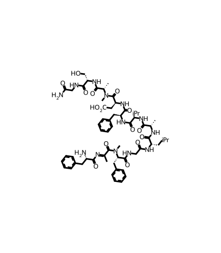 C/C(=N\C(=O)[C@@H](N)Cc1ccccc1)C(=O)N(C)[C@@H](Cc1ccccc1)C(=O)NCC(=O)N[C@@H](CC(C)C)C(=O)N[C@@H](C)C(=O)N[C@H](C(=O)N[C@@H](Cc1ccccc1)C(=O)N[C@@H](CC(=O)O)C(=O)N(C)[C@@H](C)C(=O)N[C@@H](CO)C(=O)NCC(N)=O)C(C)C